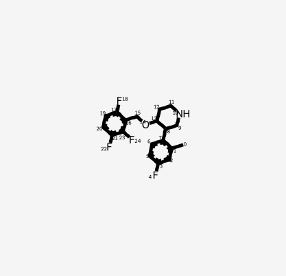 Cc1cc(F)ccc1C1CNCCC1OCc1c(F)ccc(F)c1F